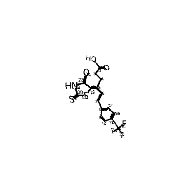 O=C(O)CCC(C=Cc1ccc(C(F)(F)F)cc1)=C1SC(=S)NC1=O